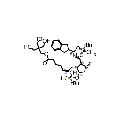 CC(C)(C)[Si](C)(C)O[C@H]1C[C@H](F)[C@H](CC[C@@H](O[Si](C)(C)C(C)(C)C)C2Cc3ccccc3C2)[C@H]1C/C=C\CCCC(=O)OCC(CO)(CO)CO